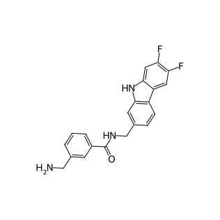 NCc1cccc(C(=O)NCc2ccc3c(c2)[nH]c2cc(F)c(F)cc23)c1